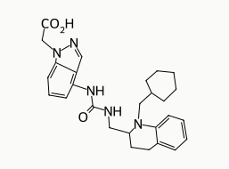 O=C(O)Cn1ncc2c(NC(=O)NCC3CCc4ccccc4N3CC3CCCCC3)cccc21